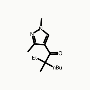 CCCCC(C)(CC)C(=O)c1cn(C)nc1C